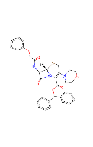 O=C(COc1ccccc1)N[C@@H]1C(=O)N2C(C(=O)OC(c3ccccc3)c3ccccc3)=C(N3CCOCC3)CS[C@@H]12